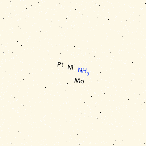 N.[Mo].[Ni].[Pt]